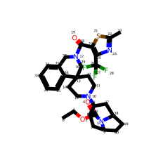 CCOC(=O)N1C2CCC(N3CCC4(CC3)CN(C(=O)c3sc(C)nc3C(F)(F)F)Cc3ccccc34)CC1CC2